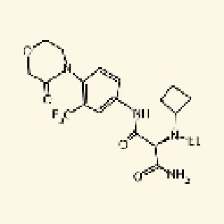 CCN(C1CCC1)[C@@H](C(N)=O)C(=O)Nc1ccc(N2CCOCC2=O)c(C(F)(F)F)c1